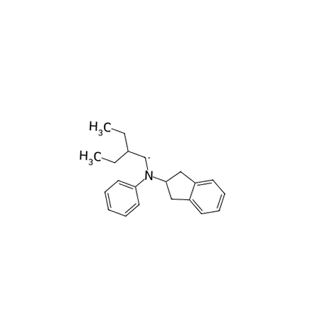 CCC([CH]N(c1ccccc1)C1Cc2ccccc2C1)CC